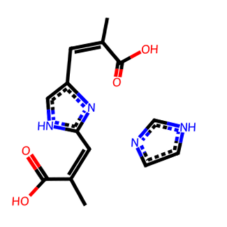 CC(=Cc1c[nH]c(C=C(C)C(=O)O)n1)C(=O)O.c1c[nH]cn1